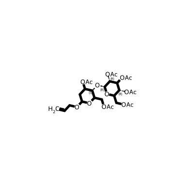 C=CCOC1CC(OC(C)=O)[C@H](O[C@H]2OC(COC(C)=O)[C@@H](OC(C)=O)C(OC(C)=O)[C@H]2OC(C)=O)C(COC(C)=O)O1